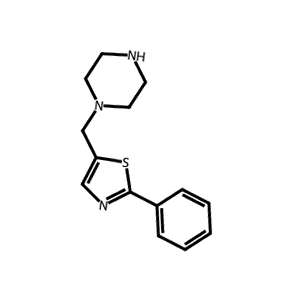 c1ccc(-c2ncc(CN3CCNCC3)s2)cc1